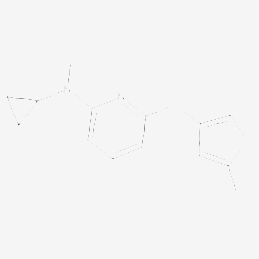 O=CN(c1cccc(Oc2csc(C(F)(F)F)c2)n1)C1CC1